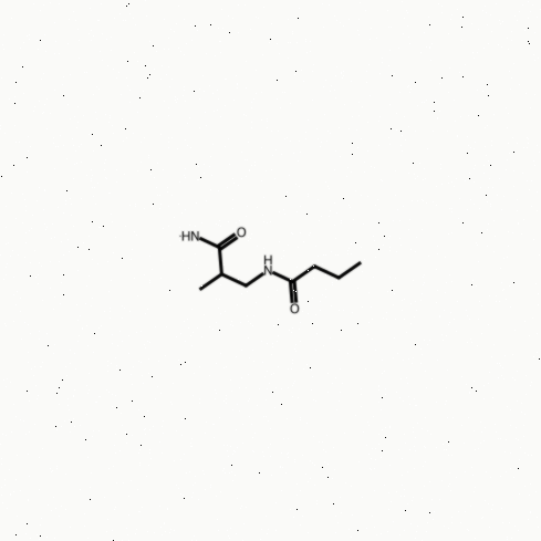 CCCC(=O)NCC(C)C([NH])=O